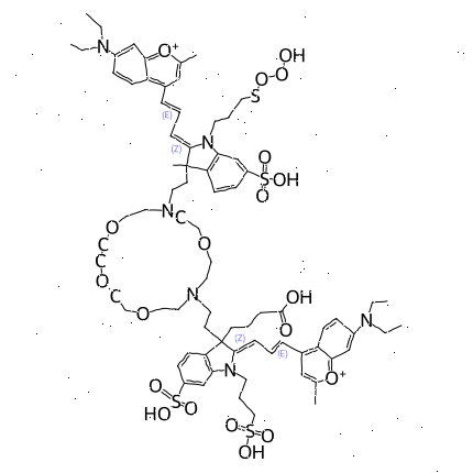 CCN(CC)c1ccc2c(/C=C/C=C3\N(CCCSOOO)c4cc(S(=O)(=O)O)ccc4C3(C)CCN3CCOCCOCCOCCN(CCC4(CCCC(=O)O)/C(=C/C=C/c5cc(C)[o+]c6cc(N(CC)CC)ccc56)N(CCCS(=O)(=O)O)c5cc(S(=O)(=O)O)ccc54)CCOCC3)cc(C)[o+]c2c1